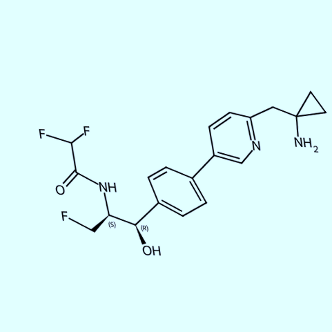 NC1(Cc2ccc(-c3ccc([C@@H](O)[C@@H](CF)NC(=O)C(F)F)cc3)cn2)CC1